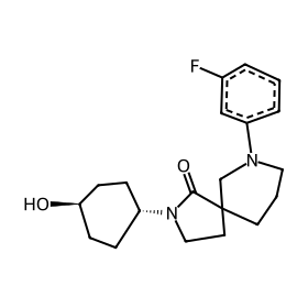 O=C1N([C@H]2CC[C@H](O)CC2)CCC12CCCN(c1cccc(F)c1)C2